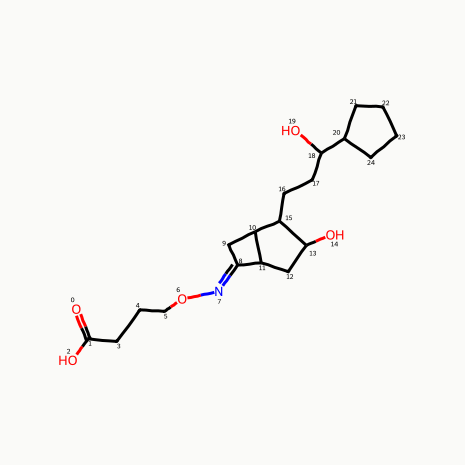 O=C(O)CCCON=C1CC2C1CC(O)C2CCC(O)C1CCCC1